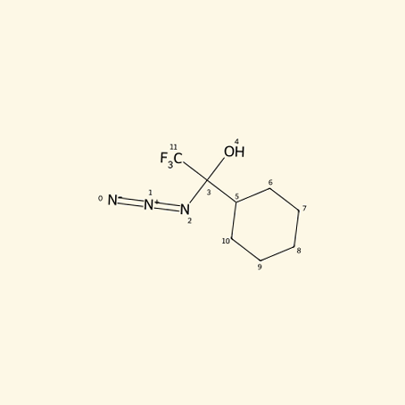 [N-]=[N+]=NC(O)(C1CCCCC1)C(F)(F)F